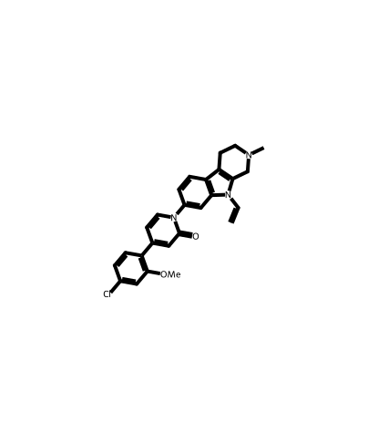 C=Cn1c2c(c3ccc(-n4ccc(-c5ccc(Cl)cc5OC)cc4=O)cc31)CCN(C)C2